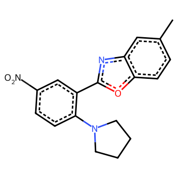 Cc1ccc2oc(-c3cc([N+](=O)[O-])ccc3N3CCCC3)nc2c1